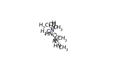 C=C(/N=C(\C=C(C)C)NC)Nc1ccc(CC)c(-n2cc(CNC)cn2)c1